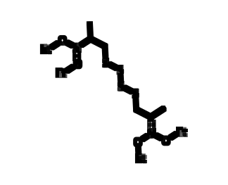 CCO[SiH](OCC)C(C)CSSSSCC(C)[SiH](OCC)OCC